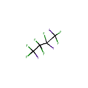 FC(F)(I)C(F)(F)C(F)(I)C(F)(F)I